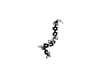 Cn1cnc(-c2ccc(C3=CCN(C(=O)CN4CC[C@]5(CCN(c6ccc7[nH]nc(-c8ccc(C(F)F)nc8)c7c6)C5=O)C4)CC3)cc2)n1